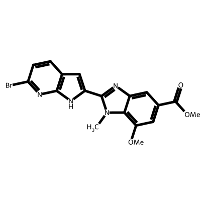 COC(=O)c1cc(OC)c2c(c1)nc(-c1cc3ccc(Br)nc3[nH]1)n2C